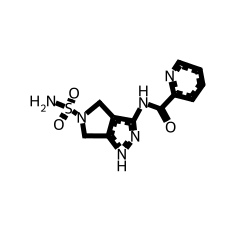 NS(=O)(=O)N1Cc2[nH]nc(NC(=O)c3ccccn3)c2C1